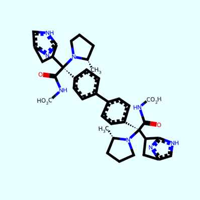 C[C@H]1CCCN1[C@](C(=O)NC(=O)O)(c1ccc(-c2ccc([C@](C(=O)NC(=O)O)(C3Cc4c[nH]c3n4)N3CCC[C@@H]3C)cc2)cc1)C1Cc2c[nH]c1n2